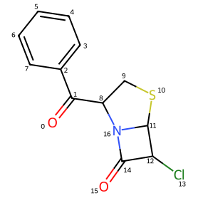 O=C(c1ccccc1)C1CSC2C(Cl)C(=O)N12